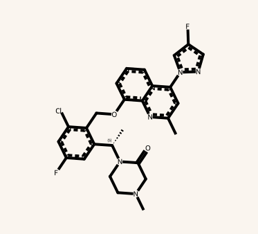 Cc1cc(-n2cc(F)cn2)c2cccc(OCc3c(Cl)cc(F)cc3[C@H](C)N3CCN(C)CC3=O)c2n1